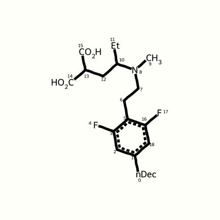 CCCCCCCCCCc1cc(F)c(CCN(C)C(CC)CC(C(=O)O)C(=O)O)c(F)c1